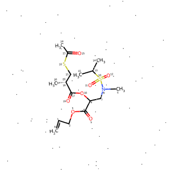 C=CCOC(=O)C(CN(C)S(=O)(=O)C(C)C)OC(=O)[C@H](C)CSC(C)=O